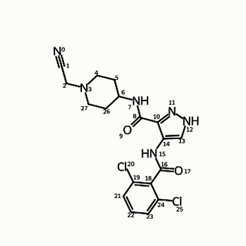 N#CCN1CCC(NC(=O)c2n[nH]cc2NC(=O)c2c(Cl)cccc2Cl)CC1